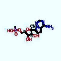 CP(=O)(O)OC[C@H]1O[C@@](C#N)(c2ccc3c(N)ncnn23)[C@@H](O)C1O